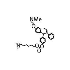 CC=C(c1ccccc1)C(c1ccc(OCCNC)cc1)c1ccc(OC(=O)OCCCCCCN(C)C)cc1